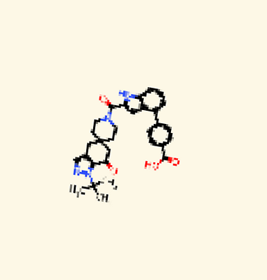 CC(C)(C)n1ncc2c1C(=O)CC1(CCN(C(=O)c3cc4c(-c5ccc(C(=O)O)cc5)cccc4[nH]3)CC1)C2